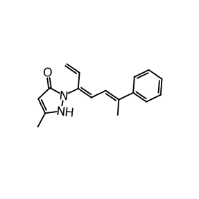 C=C/C(=C\C=C(/C)c1ccccc1)n1[nH]c(C)cc1=O